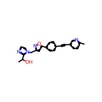 Cc1ccc(C#Cc2ccc(-c3cc(Cn4ccnc4C(C)O)no3)cc2)cn1